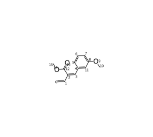 C=CC(=Cc1cccc(OC)c1)C(=O)OC